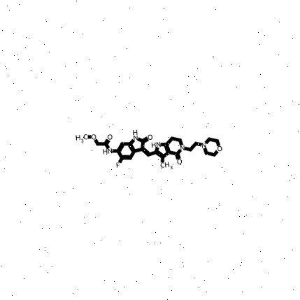 COCC(=O)Nc1cc2c(cc1F)/C(=C/c1[nH]c3c(c1C)C(=O)N(CCN1CCOCC1)CC3)C(=O)N2